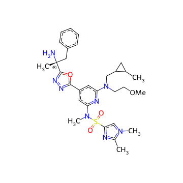 COCCN(CC1CC1C)c1cc(-c2nnc([C@](C)(N)Cc3ccccc3)o2)cc(N(C)S(=O)(=O)c2cn(C)c(C)n2)n1